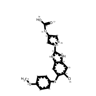 COc1ccc(Sc2cc3nc(-n4cc(OC(=O)O)cn4)[nH]c3cc2Cl)cc1